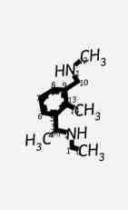 CCN[C@H](C)c1cccc(CNC)c1C